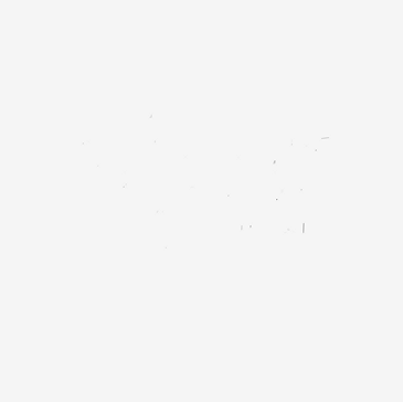 Cc1cccc(Oc2cccc3c2C=C(C(=O)O)C(Cl)(C(F)(F)F)O3)c1